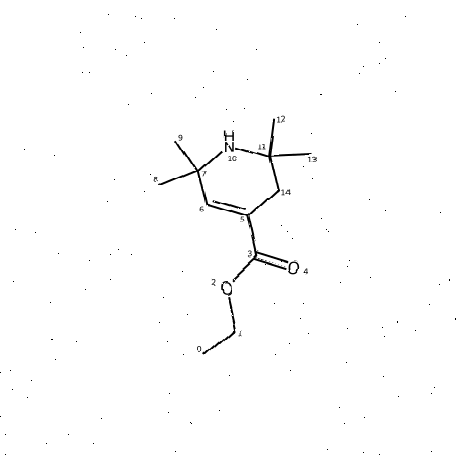 CCOC(=O)C1=CC(C)(C)NC(C)(C)C1